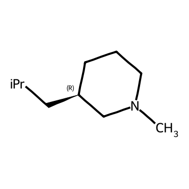 CC(C)C[C@H]1CCCN(C)C1